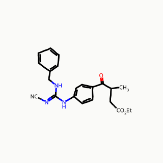 CCOC(=O)CC(C)C(=O)c1ccc(NC(=NC#N)NCc2ccccc2)cc1